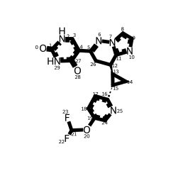 O=c1[nH]cc(C2=Nn3ccnc3C([C@H]3C[C@@H]3c3ccc(OC(F)F)cn3)C2)c(=O)[nH]1